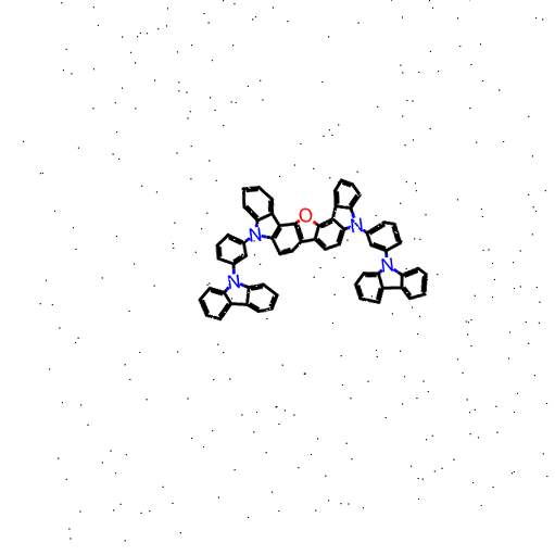 c1cc(-n2c3ccccc3c3ccccc32)cc(-n2c3ccccc3c3c4oc5c(ccc6c5c5ccccc5n6-c5cccc(-n6c7ccccc7c7ccccc76)c5)c4ccc32)c1